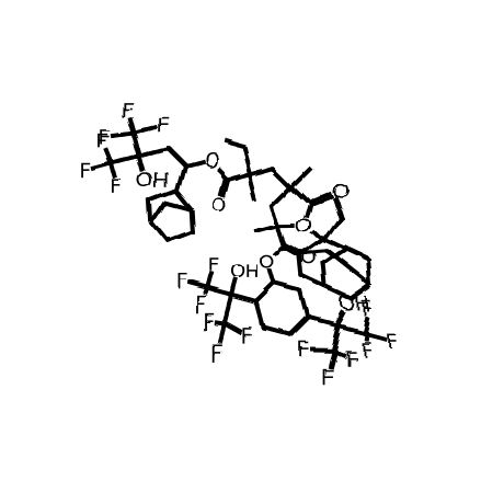 CCC(C)(CC(C)(CC(C)(C)C(=O)OC1CC(C(O)(C(F)(F)F)C(F)(F)F)CCC1C(O)(C(F)(F)F)C(F)(F)F)C(=O)OC1(CC)C2CC3CC(C2)CC1C3)C(=O)OC(CC(O)(C(F)(F)F)C(F)(F)F)C1CC2CCC1C2